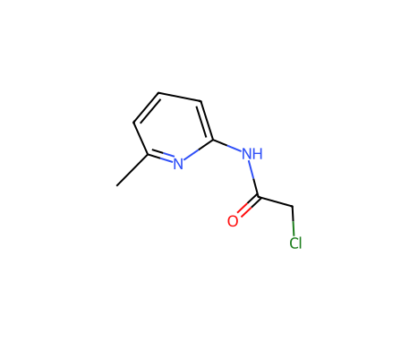 Cc1cccc(NC(=O)CCl)n1